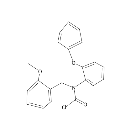 COc1ccccc1CN(C(=O)Cl)c1ccccc1Oc1ccccc1